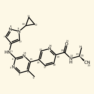 Cc1cnc(Nc2cnn(C3CC3)c2)nc1-c1ccc(C(=O)N[C@@H](C)C#N)nc1